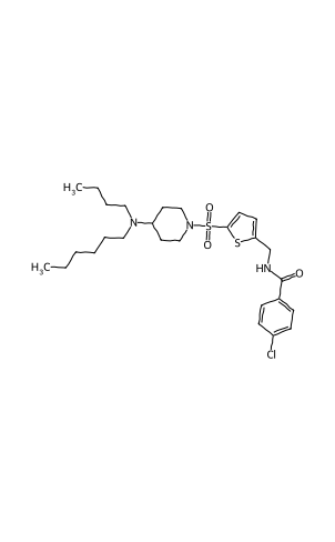 CCCCCCN(CCCC)C1CCN(S(=O)(=O)c2ccc(CNC(=O)c3ccc(Cl)cc3)s2)CC1